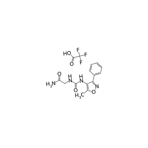 Cc1onc(-c2ccccc2)c1NC(=O)NCC(N)=O.O=C(O)C(F)(F)F